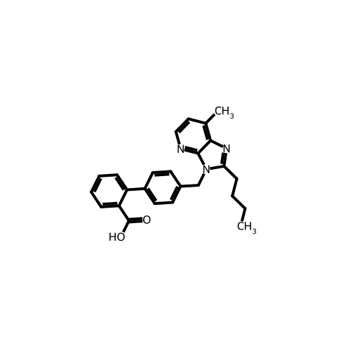 CCCCc1nc2c(C)ccnc2n1Cc1ccc(-c2ccccc2C(=O)O)cc1